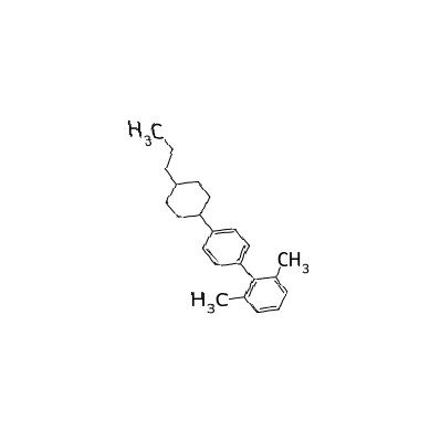 CCCC1CCC(c2ccc(-c3c(C)cccc3C)cc2)CC1